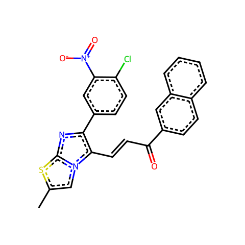 Cc1cn2c(C=CC(=O)c3ccc4ccccc4c3)c(-c3ccc(Cl)c([N+](=O)[O-])c3)nc2s1